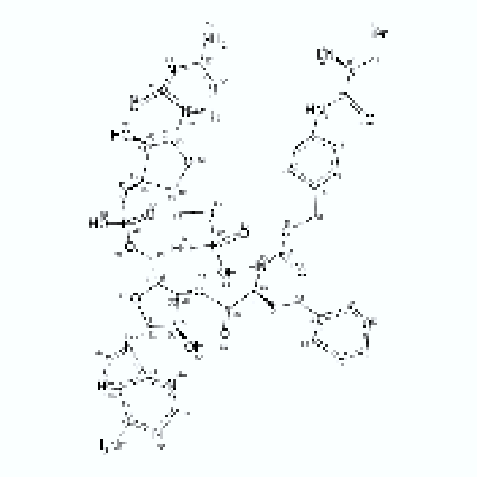 CC(C)C[C@H](N)C(=O)Nc1ccc(COC(=O)N[C@@H](CCc2ccccc2)C(=O)O[C@H]2[C@@H](O)[C@H](n3cnc4c(N)ncnc43)O[C@@H]2COP(=O)(O)O[C@H]2[C@@H](O)[C@H](n3ccc(N)nc3=O)O[C@@H]2COP(=O)(O)O)cc1